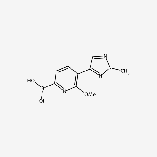 COc1nc(B(O)O)ccc1-c1cnn(C)n1